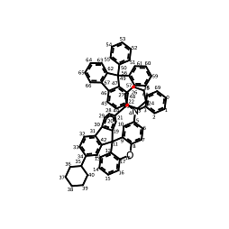 c1ccc(N(c2ccc3c(c2)C2(c4ccccc4O3)c3cc(C4CCCCC4)ccc3-c3ccc(C4CCCCC4)cc32)c2ccc3c(c2)C(c2ccccc2)(c2ccccc2)c2ccccc2-3)cc1